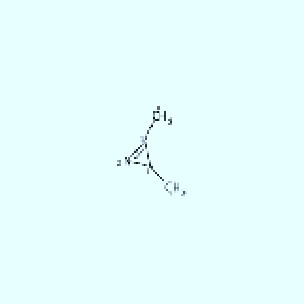 CC1=NC1C